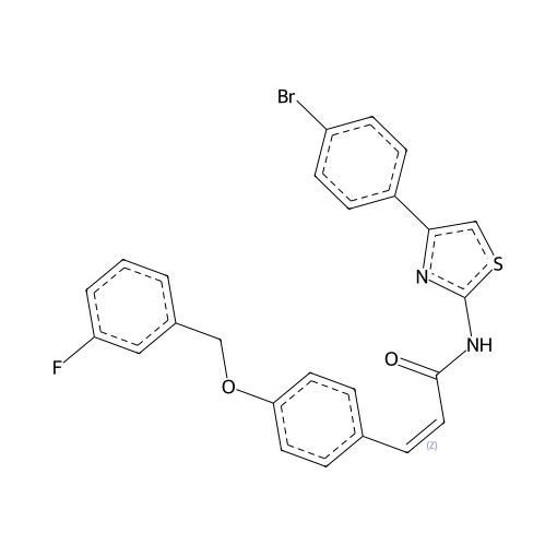 O=C(/C=C\c1ccc(OCc2cccc(F)c2)cc1)Nc1nc(-c2ccc(Br)cc2)cs1